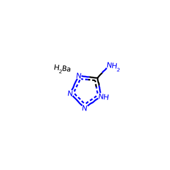 Nc1nnn[nH]1.[BaH2]